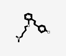 CN(C)CCCCOc1ccccc1/C=C/c1ccc(Cl)cc1